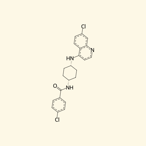 O=C(N[C@H]1CC[C@@H](Nc2ccnc3cc(Cl)ccc23)CC1)c1ccc(Cl)cc1